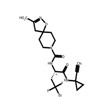 C#CC1(NC(=O)[C@H](CC(F)(F)CC)NC(=O)N2CCC3(CC2)CC(C(=O)O)=NO3)CC1